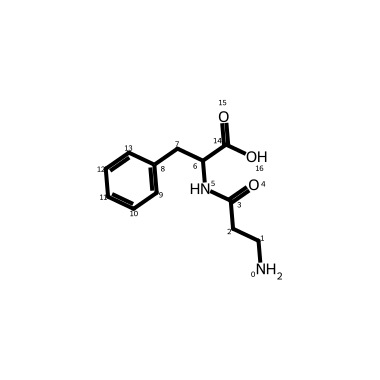 NCCC(=O)NC(Cc1ccccc1)C(=O)O